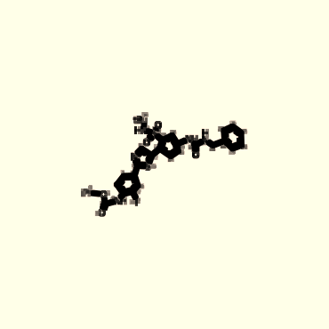 CC(C)OC(=O)Nc1ccc(-c2ncc(-c3ccc(NC(=O)NCc4ccccc4)cc3S(=O)(=O)NC(C)(C)C)s2)cc1F